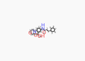 O=C(C=Cc1ccccc1)Nc1ccc(N2CCOCC2)c(C(=O)O)c1